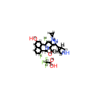 C#Cc1c(F)ccc2cc(O)cc(-c3nc(C(C)=O)c4c(C5[C@H]6CNC[C@@H]56)nn(C5CC5)c4c3F)c12.O=C(O)C(F)(F)F